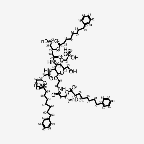 CCCCCCCCCCC[C@H](CC(=O)NCCO[C@@H]1OC(CO)[C@@H](OCP(=O)(O)O)C(NC(=O)C[C@@H](CCCCCCCCCCC)OC(=O)CCCCCCCc2ccccc2)C1NC(=O)C[C@@H](CCCCCCCCCCC)OC(=O)CCCCCCCc1ccccc1)OC(=O)CCCCCCCc1ccccc1